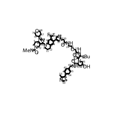 CNC(=O)N1CCc2c(c(N3CCCc4cc(-c5cnn(CC(=O)NCCOCC(=O)N[C@H](C(=O)N6C[C@H](O)C[C@H]6C(=O)NCc6ccc(-c7scnc7C)cc6)C(C)(C)C)c5)c(C(F)F)cc43)nn2C2CCOCC2)C1